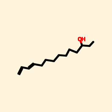 C=CC=CCCCCCCCC(O)CC